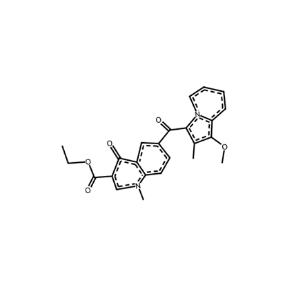 CCOC(=O)c1cn(C)c2ccc(C(=O)c3c(C)c(OC)c4ccccn34)cc2c1=O